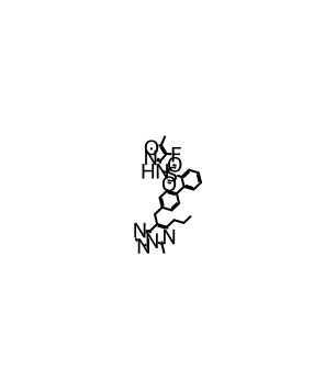 CCCc1nc(C)n2ncnc2c1Cc1ccc(-c2ccccc2S(=O)(=O)Nc2noc(C)c2F)cc1